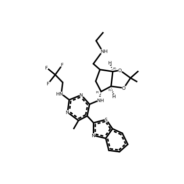 CCNCC1C[C@@H](Nc2nc(NCC(F)(F)F)nc(C)c2-c2nc3ccccc3s2)[C@@H]2OC(C)(C)O[C@H]12